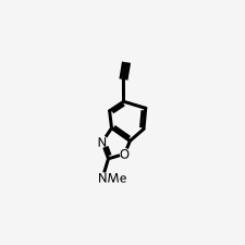 C#Cc1ccc2oc(NC)nc2c1